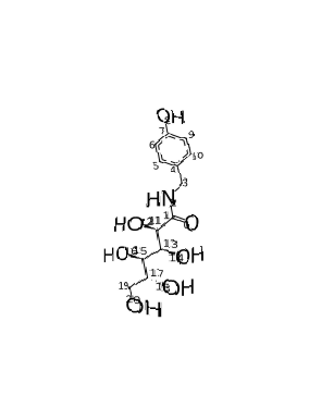 O=C(NCc1ccc(O)cc1)[C@H](O)[C@@H](O)[C@H](O)[C@H](O)CO